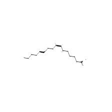 CCCC/C=C/CC/C=C\CCCCCC(=O)O